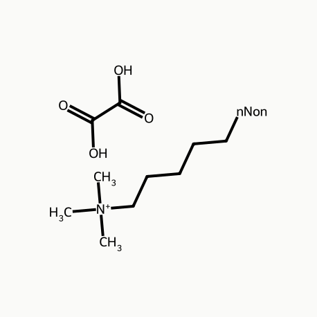 CCCCCCCCCCCCCC[N+](C)(C)C.O=C(O)C(=O)O